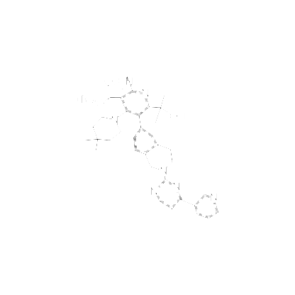 Cc1nc(C(C)(C)O)c(-c2ccc3c(c2)CCN(c2nccc(-c4cccnc4)n2)C3)c(N2CCC(C)(C)CC2)c1[C@H](OC(C)(C)C)C(=O)O